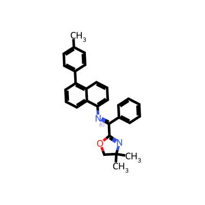 Cc1ccc(-c2cccc3c(/N=C(/C4=NC(C)(C)CO4)c4ccccc4)cccc23)cc1